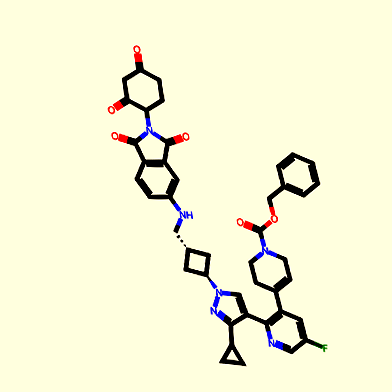 O=C1CCC(N2C(=O)c3ccc(NC[C@H]4C[C@H](n5cc(-c6ncc(F)cc6C6=CCN(C(=O)OCc7ccccc7)CC6)c(C6CC6)n5)C4)cc3C2=O)C(=O)C1